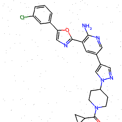 Nc1ncc(-c2cnn(C3CCN(C(=O)C4CC4)CC3)c2)cc1-c1ncc(-c2cccc(Cl)c2)o1